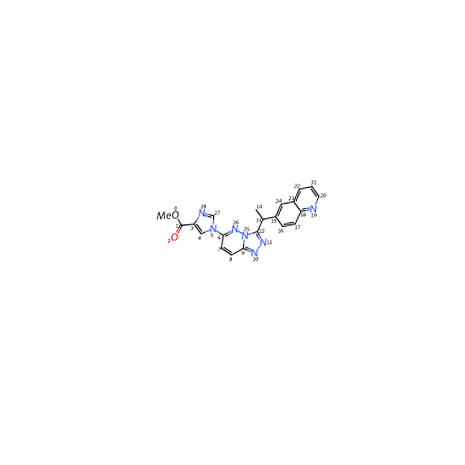 COC(=O)c1cn(-c2ccc3nnc(C(C)c4ccc5ncccc5c4)n3n2)cn1